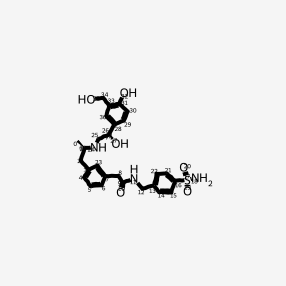 C[C@H](Cc1cccc(CC(=O)NCc2ccc(S(N)(=O)=O)cc2)c1)NC[C@H](O)c1ccc(O)c(CO)c1